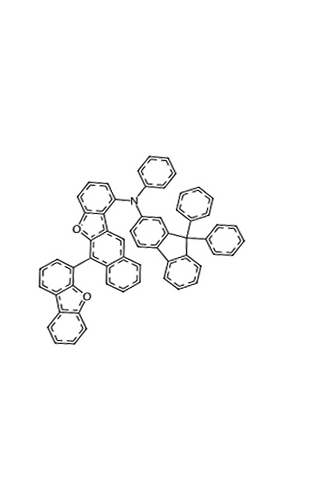 c1ccc(N(c2ccc3c(c2)C(c2ccccc2)(c2ccccc2)c2ccccc2-3)c2cccc3oc4c(-c5cccc6c5oc5ccccc56)c5ccccc5cc4c23)cc1